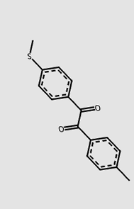 CSc1ccc(C(=O)C(=O)c2ccc(C)cc2)cc1